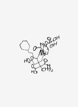 CC(C(N)=O)(C(=O)O)C(CC(=O)O)(Cc1ccc(OP(=O)(O)O)cc1)C(CCCC1CCCCC1)NC(N)=O